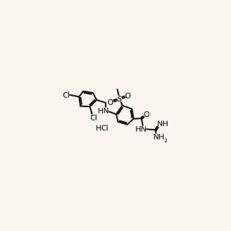 CS(=O)(=O)c1cc(C(=O)NC(=N)N)ccc1NCc1ccc(Cl)cc1Cl.Cl